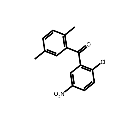 Cc1ccc(C)c(C(=O)c2cc([N+](=O)[O-])ccc2Cl)c1